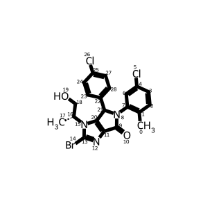 Cc1ccc(Cl)cc1N1C(=O)c2nc(Br)n([C@H](C)CO)c2C1c1ccc(Cl)cc1